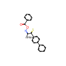 CCCCCCC(=NOC(=O)c1ccccc1)C(=S)c1ccc(-c2ccccc2)cc1